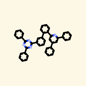 c1ccc(-c2cc(-c3ccccc3)nc(-c3ccccc3-c3cccc(-c4nc(-c5ccccc5)nc(-c5ccccc5)n4)c3)c2)cc1